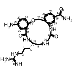 N=C(N)NCCC[C@H]1CNCC(=O)Nc2cc(C(N)=O)ccc2COc2ccc(N)cc2C(=O)N1